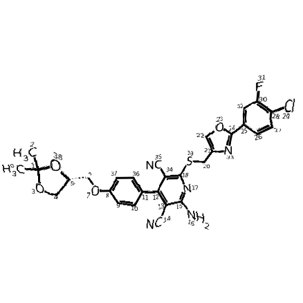 CC1(C)OC[C@@H](COc2ccc(-c3c(C#N)c(N)nc(SCc4coc(-c5ccc(Cl)c(F)c5)n4)c3C#N)cc2)O1